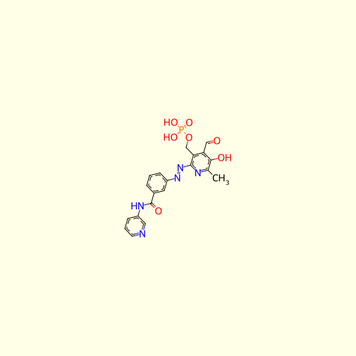 Cc1nc(N=Nc2cccc(C(=O)Nc3cccnc3)c2)c(COP(=O)(O)O)c(C=O)c1O